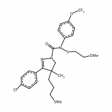 COCCSN(C(=O)N1CC(C)(CCCSC)C(c2ccc(Cl)cc2)=N1)c1ccc(OC(F)(F)F)cc1